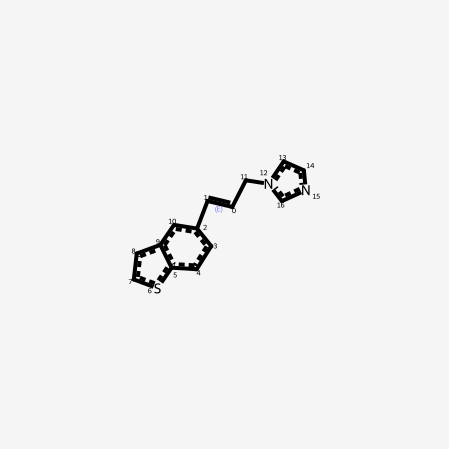 C(=C\c1ccc2sccc2c1)/Cn1ccnc1